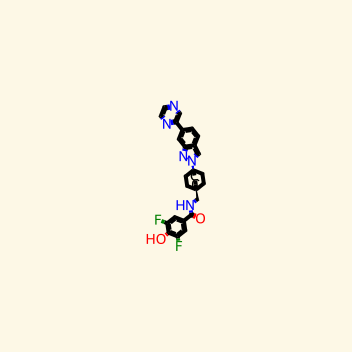 O=C(NC[C@]12CC[C@](n3cc4ccc(-c5cnccn5)cc4n3)(CC1)CC2)c1cc(F)c(O)c(F)c1